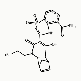 CC(C)(C)CCN1C(=O)C(C2=NS(=O)(=O)c3c[c]cc(C(N)=O)c3N2)=C(O)C2C3C=CC(C3)C21